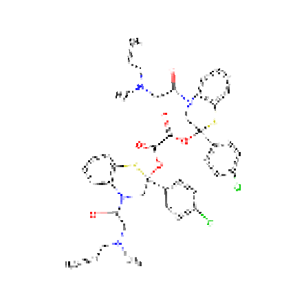 C=CCN(C)CC(=O)N1CC(OC(=O)C(=O)OC2(c3ccc(Cl)cc3)CN(C(=O)CN(C)CC=C)c3ccccc3S2)(c2ccc(Cl)cc2)Sc2ccccc21